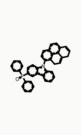 O=P(c1ccccc1)(c1ccccc1)c1ccc2c(c1)c1ccccc1n2-c1ccc2ccc3c4c2c1CC=C4CC=C3